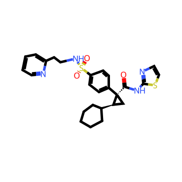 O=C(Nc1nccs1)[C@]1(c2ccc(S(=O)(=O)NCCc3ccccn3)cc2)C[C@H]1C1CCCCC1